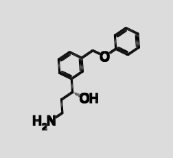 NCC[C@@H](O)c1cccc(COc2ccccc2)c1